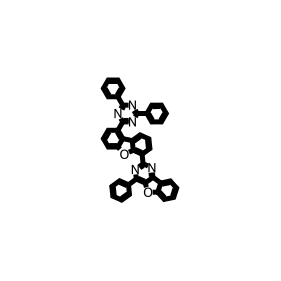 c1ccc(-c2nc(-c3ccccc3)nc(-c3cccc4oc5c(-c6nc(-c7ccccc7)c7oc8ccccc8c7n6)cccc5c34)n2)cc1